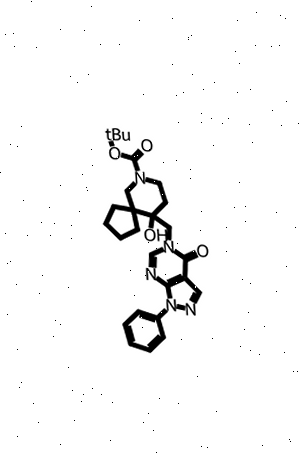 CC(C)(C)OC(=O)N1CCC(O)(Cn2cnc3c(cnn3-c3ccccc3)c2=O)C2(CCCC2)C1